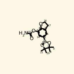 CC1(C)OB(c2cc3c(c(OC(N)=O)c2)OCC3)OC1(C)C